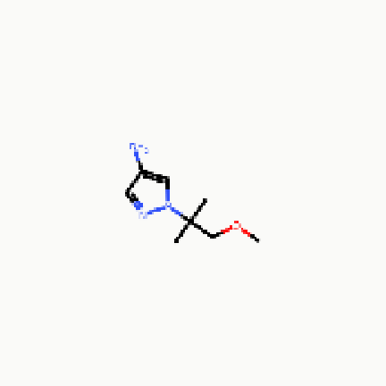 COCC(C)(C)n1cc(N)cn1